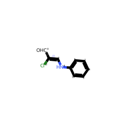 O=C/C(Cl)=C/Nc1ccccc1